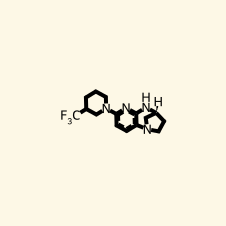 FC(F)(F)C1CCCN(c2ccc3c(n2)N[C@H]2CCN3C2)C1